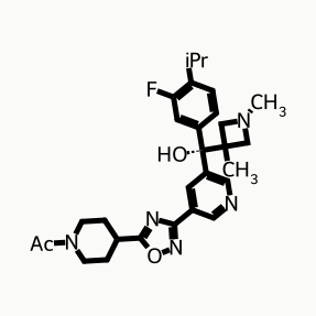 CC(=O)N1CCC(c2nc(-c3cncc([C@@](O)(c4ccc(C(C)C)c(F)c4)C4(C)CN(C)C4)c3)no2)CC1